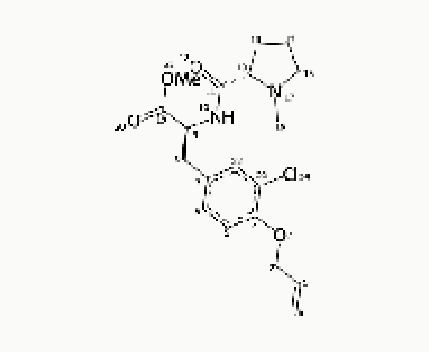 C=CCOc1ccc(C[C@H](NC(=O)[C@@H]2CCCN2C)C(=O)OC)cc1Cl